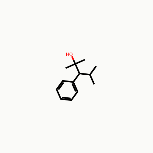 CC(C)C(c1ccccc1)C(C)(C)O